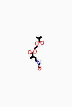 C=C(C)C(=O)OCCOC(=O)C(=C)CCN=C=O